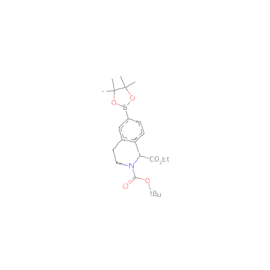 CCOC(=O)C1c2ccc(B3OC(C)(C)C(C)(C)O3)cc2CCN1C(=O)OC(C)(C)C